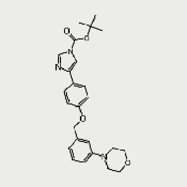 CC(C)(C)OC(=O)n1cnc(-c2ccc(OCc3cccc(N4CCOCC4)c3)cc2)c1